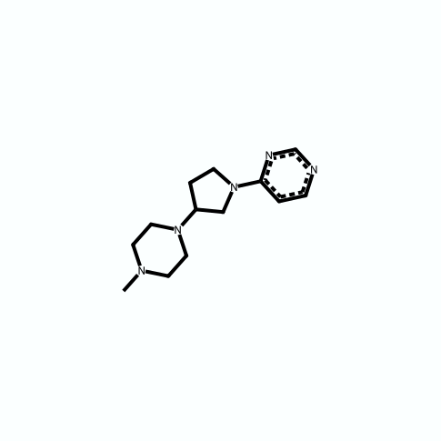 CN1CCN(C2CCN(c3ccncn3)C2)CC1